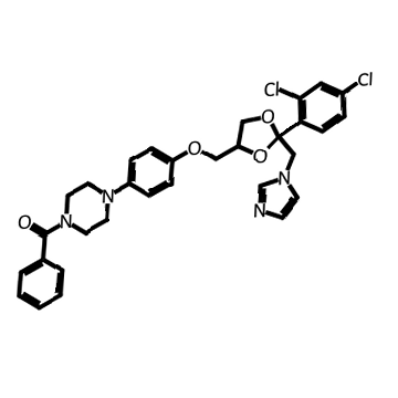 O=C(c1ccccc1)N1CCN(c2ccc(OCC3COC(Cn4ccnc4)(c4ccc(Cl)cc4Cl)O3)cc2)CC1